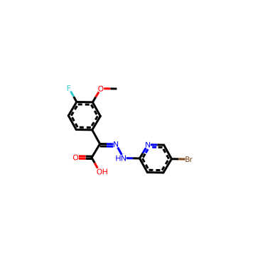 COc1cc(C(=NNc2ccc(Br)cn2)C(=O)O)ccc1F